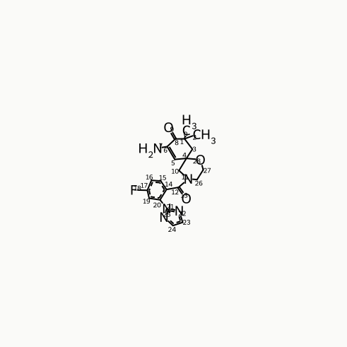 CC1(C)CC2(C=C(N)C1=O)CN(C(=O)c1ccc(F)cc1-n1nccn1)CCO2